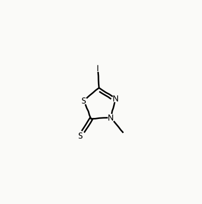 Cn1nc(I)sc1=S